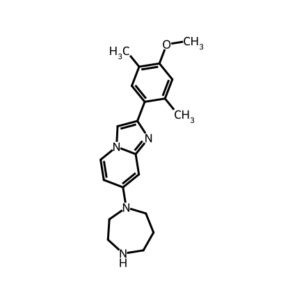 COc1cc(C)c(-c2cn3ccc(N4CCCNCC4)cc3n2)cc1C